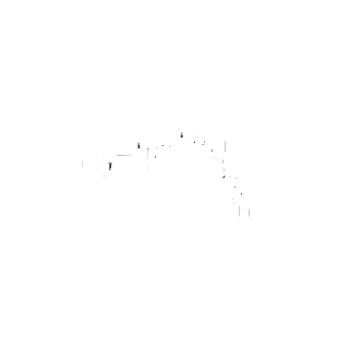 CC(C)CNC(C)C(=O)CCNC(C)(C)C(=O)CCNC(=O)CCC(=O)C(C)C